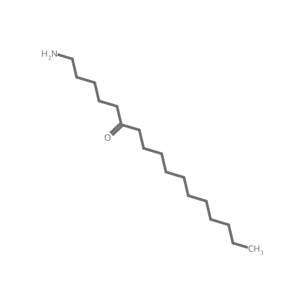 CCCCCCCCCCCC(=O)CCCCCN